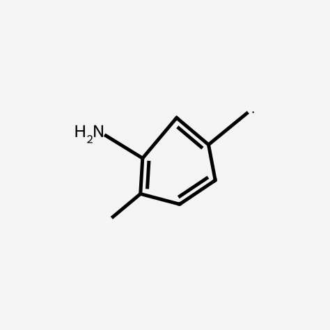 [CH2]c1ccc(C)c(N)c1